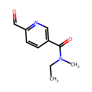 CCN(C)C(=O)c1ccc(C=O)nc1